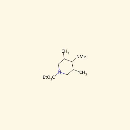 CCOC(=O)N1CC(C)C(NC)C(C)C1